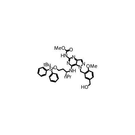 CCC[C@@H](CCO[Si](c1ccccc1)(c1ccccc1)C(C)(C)C)Nc1nc(NC(=O)OC)nc2cnn(Cc3cc(CO)ccc3OC)c12